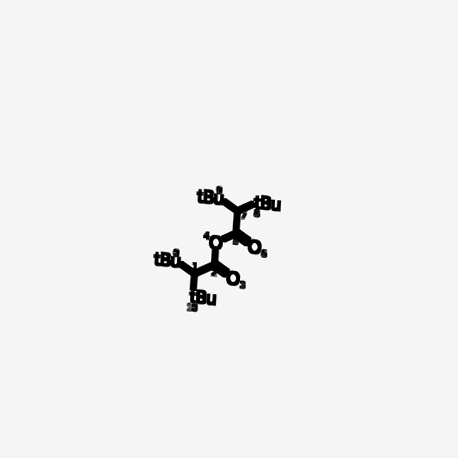 CC(C)(C)C(C(=O)OC(=O)C(C(C)(C)C)C(C)(C)C)C(C)(C)C